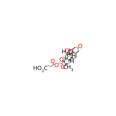 C[C@@H]1C[C@H]2[C@@H]3CCC4=CC(=O)C=C[C@]4(C)[C@@]3(F)[C@@H](O)C[C@@]23CO[C@]13C(=O)COC(=O)CCC(=O)O